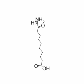 NNC(=O)CCCCCCCCC(=O)O